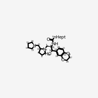 CCCCCCCC(=O)N[C@H](CN1CCCC1CN1CCCC1)[C@H](O)c1ccc2c(c1)OCCO2